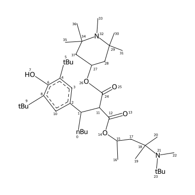 CCCCC(c1cc(C(C)(C)C)c(O)c(C(C)(C)C)c1)C(C(=O)OC(C)CC(C)(C)N(C)C(C)(C)C)C(=O)OC1CC(C)(C)N(C)C(C)(C)C1